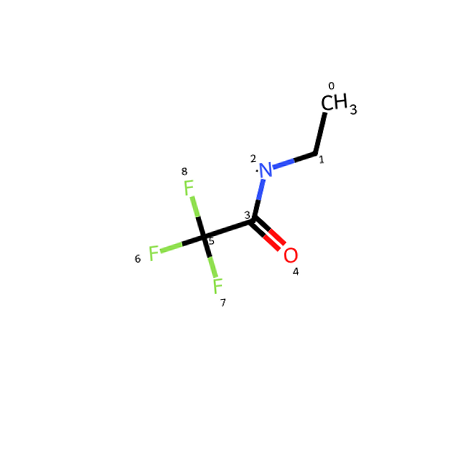 CC[N]C(=O)C(F)(F)F